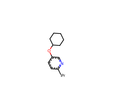 CC(C)c1ccc(OC2CCCCC2)cn1